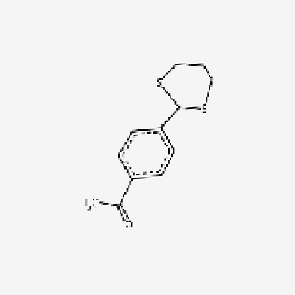 CC(=O)c1ccc(C2SCCCS2)cc1